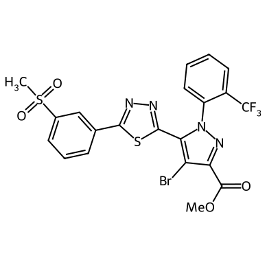 COC(=O)c1nn(-c2ccccc2C(F)(F)F)c(-c2nnc(-c3cccc(S(C)(=O)=O)c3)s2)c1Br